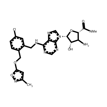 CNC(=O)[C@H]1O[C@@H](n2cnc3c(NCc4cc(Cl)ccc4COc4cc(C)no4)ncnc32)[C@@H](O)C1N